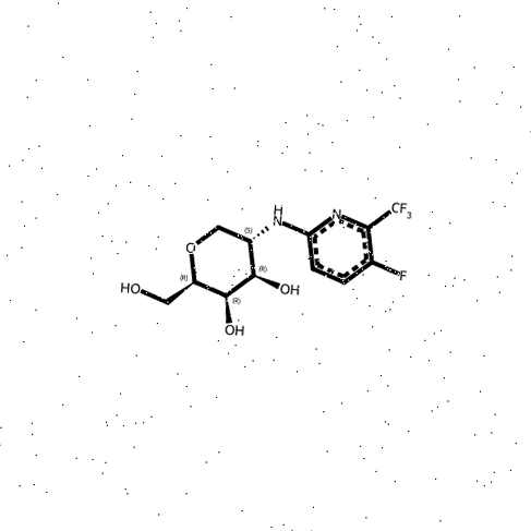 OC[C@H]1OC[C@H](Nc2ccc(F)c(C(F)(F)F)n2)[C@@H](O)[C@H]1O